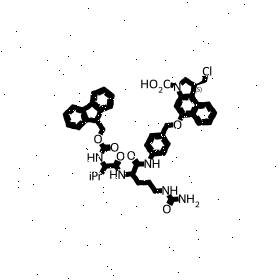 CC(C)C(NC(=O)OCC1c2ccccc2-c2ccccc21)C(=O)NC(CCCNC(N)=O)C(=O)Nc1ccc(COc2cc3c(c4ccccc24)[C@H](CCl)CN3C(=O)O)cc1